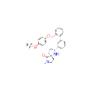 CN1CC[C@]2(CC[C@H](c3cccc(-c4ccccc4COc4ccc(OC(F)(F)F)cc4)c3)N2)C1=O